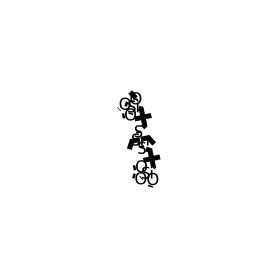 C[CH2][Sn]([CH2]C)([S]CC(C)(C)C[Si](OC)(OC)OC)[S]CC(C)(C)C[Si](OC)(OC)OC